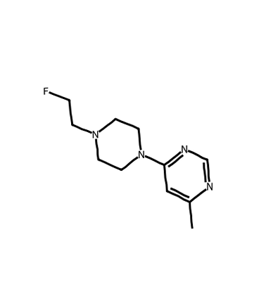 Cc1cc(N2CCN(CCF)CC2)ncn1